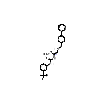 NO/C(=C\NCc1ccc(-c2ccccc2)cc1)NC(=O)Nc1cccc(C(F)(F)F)c1